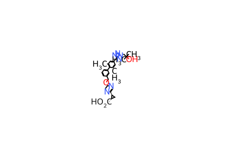 Cc1cc(-c2nnn(CC(C)(C)O)n2)cc(C)c1-c1cccc(COc2cnc([C@H]3C[C@@H]3C(=O)O)cn2)c1